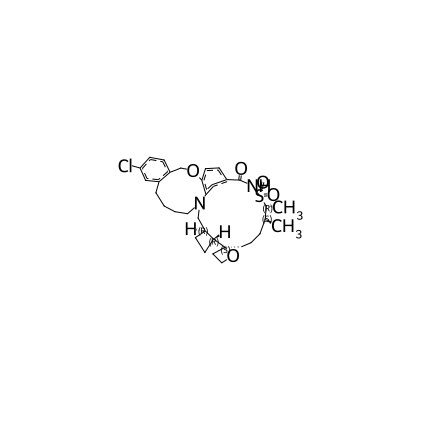 C[C@@H]1[C@@H](C)CCC[C@]2(CCO2)[C@@H]2CC[C@H]2CN2CCCCc3cc(Cl)ccc3COc3ccc(cc32)C(=O)NS1(=O)=O